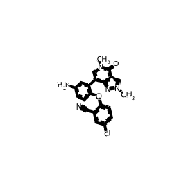 Cn1cc2c(=O)n(C)cc(-c3cc(N)ccc3Oc3ccc(Cl)cc3C#N)c2n1